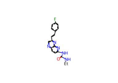 CCNC(=O)Nc1ccc2ncc(C=Cc3ccc(F)cc3)nc2n1